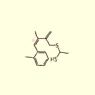 C=C(CSC(C)S)/C(C)=C\c1ccccc1C